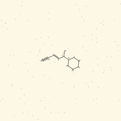 CC(C=CC#N)C1CCCCC1